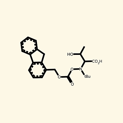 CC(O)C(C(=O)O)N(OC(=O)OCc1cccc2c1Cc1ccccc1-2)C(C)(C)C